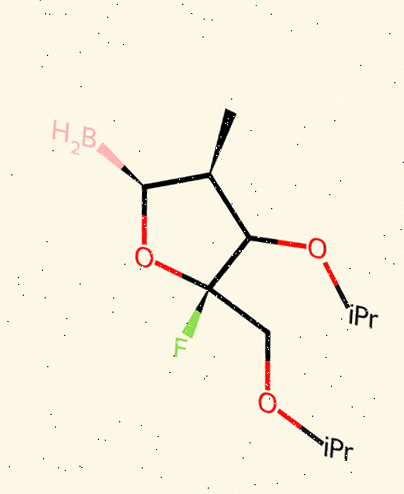 B[C@@H]1O[C@@](F)(COC(C)C)C(OC(C)C)[C@@H]1C